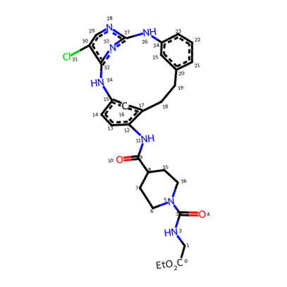 CCOC(=O)CNC(=O)N1CCC(C(=O)Nc2ccc3cc2CCc2cccc(c2)Nc2ncc(Cl)c(n2)N3)CC1